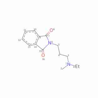 CCN(C)CCCN1C(=O)c2ccccc2C1=O